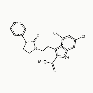 COC(=O)c1[nH]c2cc(Cl)cc(Cl)c2c1CCN1CCN(c2ccccc2)C1=O